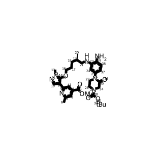 COC(=O)c1cc(C)nc(-c2cnn(C)c2OCCC[C@@H](C)CNc2cc(N3CCN(C(=O)OC(C)(C)C)CC3=O)ccc2N)c1